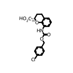 O=C(Nc1cccc2c1O[C@H](C(=O)O)CC2)OCc1ccc(Cl)cc1